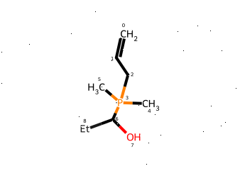 C=CC[P](C)(C)C(O)CC